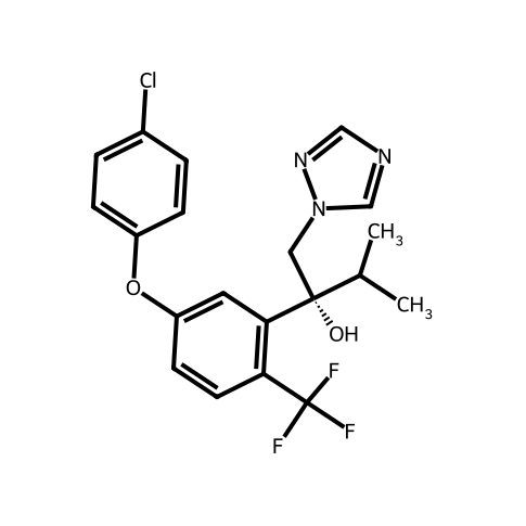 CC(C)[C@](O)(Cn1cncn1)c1cc(Oc2ccc(Cl)cc2)ccc1C(F)(F)F